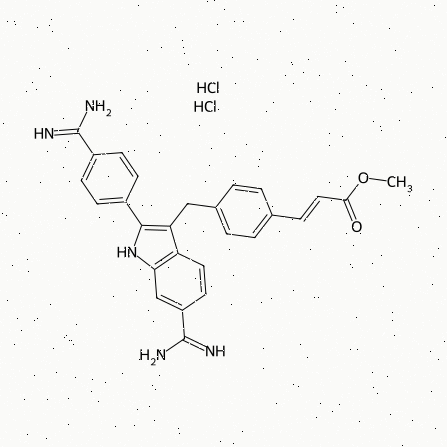 COC(=O)C=Cc1ccc(Cc2c(-c3ccc(C(=N)N)cc3)[nH]c3cc(C(=N)N)ccc23)cc1.Cl.Cl